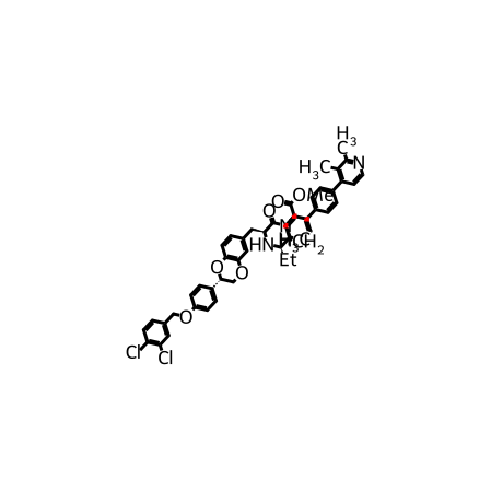 C=C(/C=C\C=C/C)[C@H](CC)N[C@@H](Cc1ccc2c(c1)OC[C@H](c1ccc(OCc3ccc(Cl)c(Cl)c3)cc1)O2)C(=O)N[C@@H](Cc1ccc(-c2ccnc(C)c2C)cc1)C(=O)OC